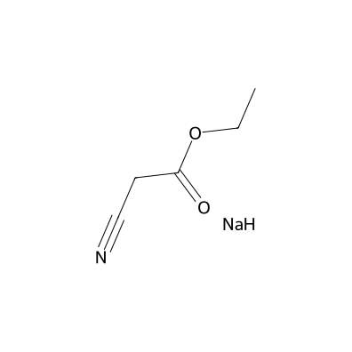 CCOC(=O)CC#N.[NaH]